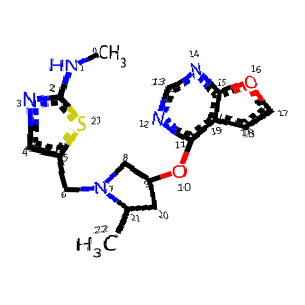 CNc1ncc(CN2CC(Oc3ncnc4occc34)CC2C)s1